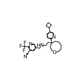 N#Cc1cc(CNCCC2(c3ccc(C4CCC4)cn3)CCCCCOCC2)cnc1C(F)(F)F